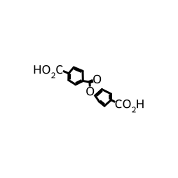 O=C(O)c1ccc(OC(=O)c2ccc(C(=O)O)cc2)cc1